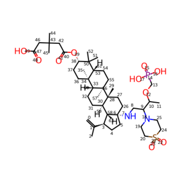 C=C(C)[C@@H]1CC[C@]2(NCC(C(C)OCP(=O)(O)O)N3CCS(=O)(=O)CC3)CC[C@]3(C)[C@H](CC[C@@H]4[C@@]5(C)CC[C@H](OC(=O)CC(C)(C)CC(=O)O)C(C)(C)[C@@H]5CC[C@]43C)[C@@H]12